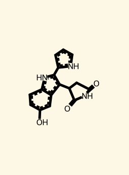 O=C1CC(c2c(-c3ccc[nH]3)[nH]c3ccc(O)cc23)C(=O)N1